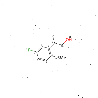 CSc1ccc(F)cc1[C](C)CO